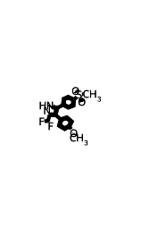 COc1ccc(-c2c(C(F)F)n[nH]c2-c2ccc(S(C)(=O)=O)cc2)cc1